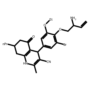 C=CC(N)COc1c(Br)cc(C2C(C#N)=C(C)NC3=C2C(=O)CC(CCC)C3)cc1OCC